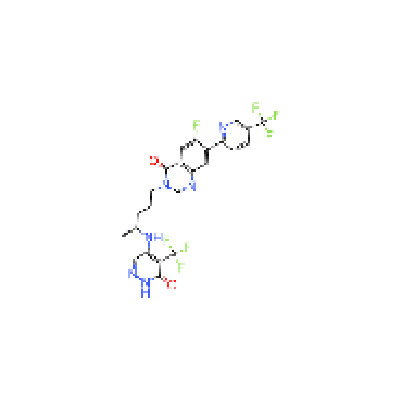 C[C@@H](CCCn1cnc2cc(-c3ccc(C(F)(F)F)cn3)c(F)cc2c1=O)Nc1cn[nH]c(=O)c1C(F)(F)F